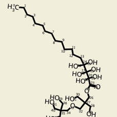 CCCCCCCCCCCCCCC(O)(O)C(O)(O)C(O)(O)C(=O)OCC(CO)(CO)COCC(CO)(CO)CO